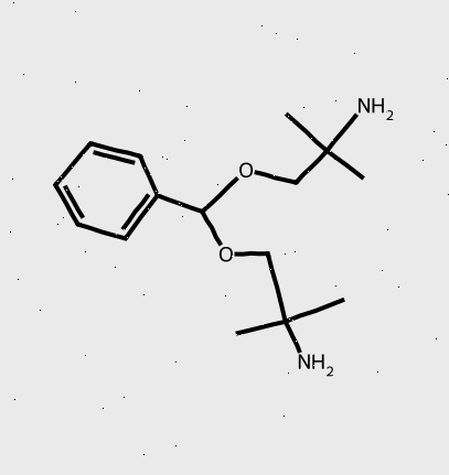 CC(C)(N)COC(OCC(C)(C)N)c1ccccc1